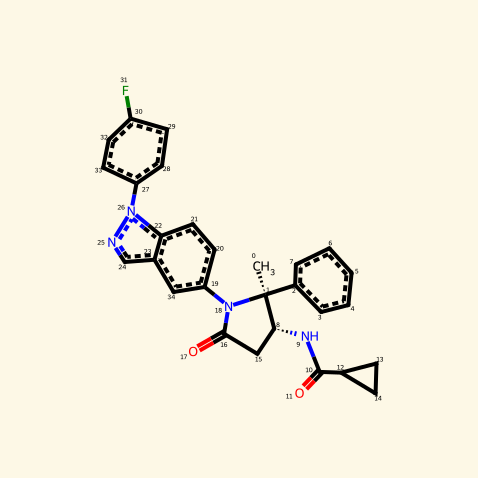 C[C@]1(c2ccccc2)[C@H](NC(=O)C2CC2)CC(=O)N1c1ccc2c(cnn2-c2ccc(F)cc2)c1